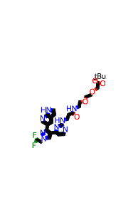 CC(C)(C)OC(=O)COCCOCCNC(=O)CCNc1nccc(-c2cn(CC(F)F)nc2-c2cnc3[nH]ccc3c2)n1